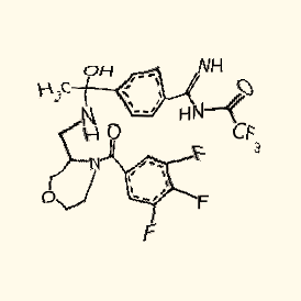 CC(O)(NCC1COCCN1C(=O)c1cc(F)c(F)c(F)c1)c1ccc(C(=N)NC(=O)C(F)(F)F)cc1